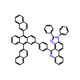 c1ccc(-c2nc3c4c(-c5ccc(-c6ccc7c(-c8ccc9ccccc9c8)c8ccccc8c(-c8ccc9ccccc9c8)c7c6)cc5)nc5ccccc5c4ccc3n2-c2ccccc2)cc1